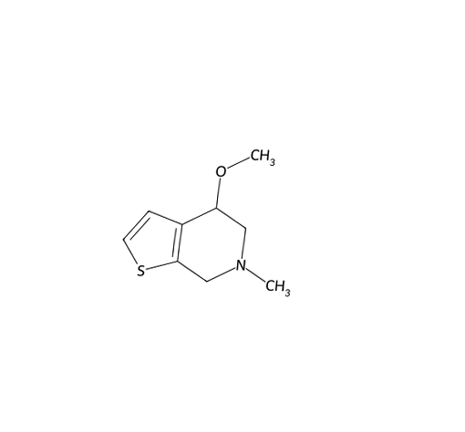 COC1CN(C)Cc2sccc21